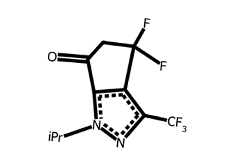 CC(C)n1nc(C(F)(F)F)c2c1C(=O)CC2(F)F